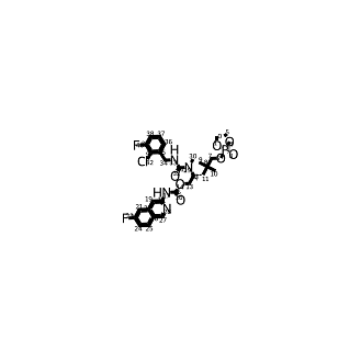 COP(=O)(OC)OCC(C)(C)C[C@H](COC(=O)Nc1cc2cc(F)ccc2cn1)N(C)C(=O)NCc1cccc(F)c1Cl